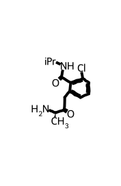 CC(C)NC(=O)c1c(Cl)cccc1CC(=O)[C@H](C)N